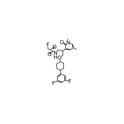 Cc1cc(C(CNS(=O)(=O)CF)COC2CCC(c3cc(F)cc(F)c3)CC2)c(=O)n(C)c1